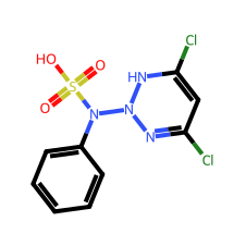 O=S(=O)(O)N(c1ccccc1)N1N=C(Cl)C=C(Cl)N1